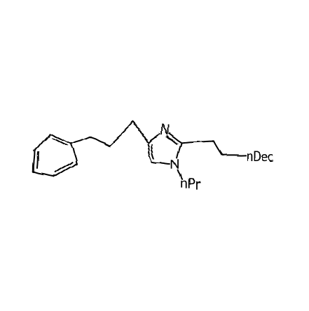 CCCCCCCCCCCCc1nc(CCCc2ccccc2)cn1CCC